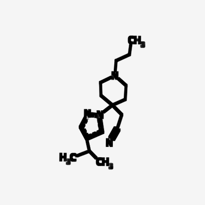 CCCN1CCC(CC#N)(n2cc(C(C)C)cn2)CC1